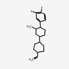 C=CC1CCC(C2CCC(c3ccc(F)c(F)c3)C(C)C2)CC1